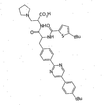 CC(C)(C)c1ccc(-c2cnc(-c3ccc(CC(NC(=O)c4ccc(C(C)(C)C)s4)C(=O)NC(CN4CCCC4)C(=O)O)cc3)nc2)cc1